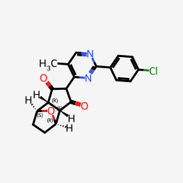 Cc1cnc(-c2ccc(Cl)cc2)nc1C1C(=O)[C@@H]2[C@H](C1=O)[C@H]1CC[C@@H]2O1